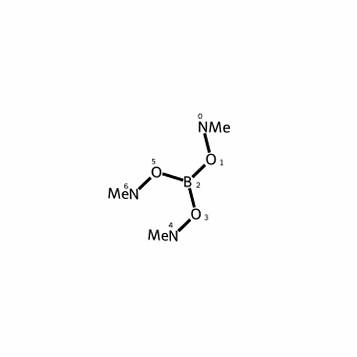 CNOB(ONC)ONC